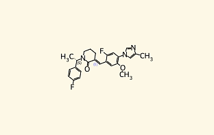 COc1cc(/C=C2\CCCN([C@@H](C)c3ccc(F)cc3)C2=O)c(F)cc1-n1cnc(C)c1